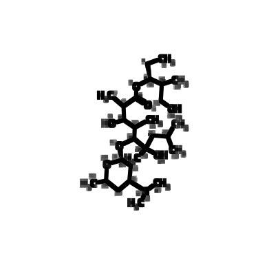 CC[C@H](OC(=O)C(C)C(O)C(C)C(O[C@H]1CC(N(C)C)CC(C)O1)C(C)(O)CC(C)C)C(C)CO